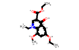 CCOC(=O)c1cn(CC)c2c(OC)cc(OCC)cc2c1=O